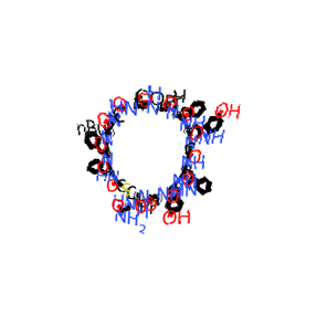 CCCC[C@H]1C(=O)N(C)CC(=O)N[C@@H](CC(=O)O)C(=O)N[C@@H](C(C)C)C(=O)N(C)[C@@H](Cc2ccccc2)C(=O)N[C@@H](Cc2c[nH]c3ccc(O)cc23)C(=O)N(C)CC(=O)N[C@@H](Cc2c[nH]c3ccccc23)C(=O)NC(Cc2ccc(O)cc2)C(=O)N[C@@H](CC(C)C)C(=O)N[C@H](C(=O)NCC(N)=O)CSCC(=O)N[C@@H](Cc2ccccc2)C(=O)N(C)[C@@H](Cc2ccccc2)C(=O)N1C